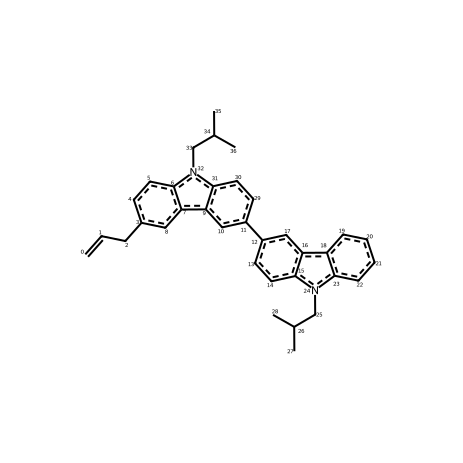 C=CCc1ccc2c(c1)c1cc(-c3ccc4c(c3)c3ccccc3n4CC(C)C)ccc1n2CC(C)C